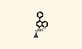 c1ccc(-c2ccc(NSC3CC3)c3ncccc23)cc1